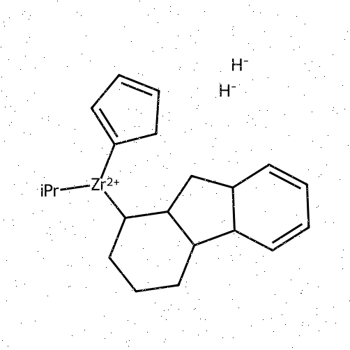 C[CH](C)[Zr+2]([C]1=CC=CC1)[CH]1CCCC2C3C=CC=CC3CC21.[H-].[H-]